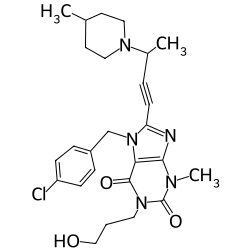 CC1CCN(C(C)C#Cc2nc3c(c(=O)n(CCCO)c(=O)n3C)n2Cc2ccc(Cl)cc2)CC1